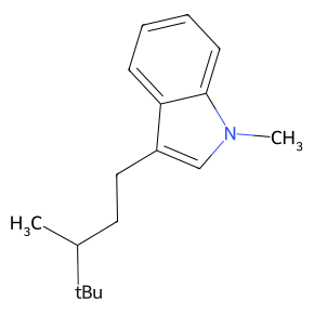 CC(CCc1cn(C)c2ccccc12)C(C)(C)C